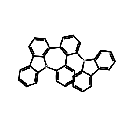 c1ccc2c(c1)-c1c(cccc1-n1c3ccccc3c3ccccc31)-c1cccc3c4ccccc4n-2c13